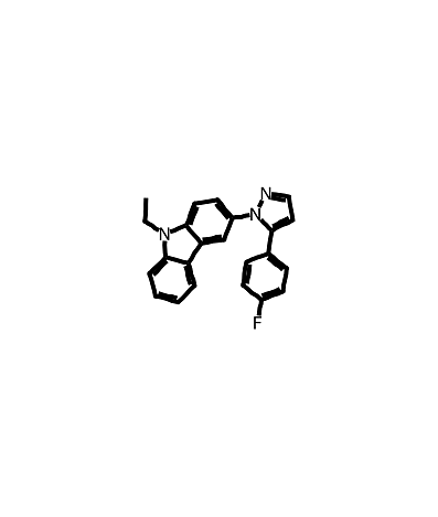 CCn1c2ccccc2c2cc(-n3nccc3-c3ccc(F)cc3)ccc21